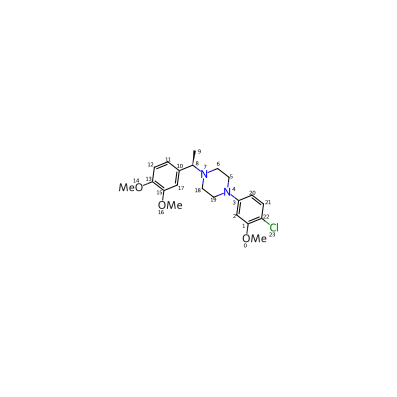 COc1cc(N2CCN([C@H](C)c3ccc(OC)c(OC)c3)CC2)ccc1Cl